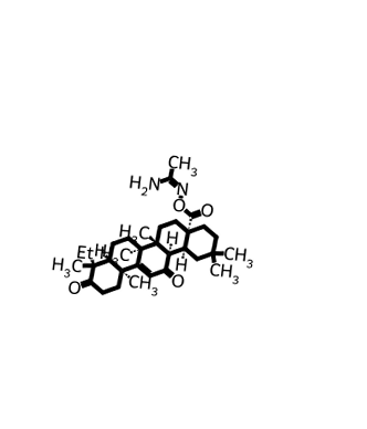 CC[C@]1(C)C(=O)CC[C@]2(C)C3=CC(=O)[C@@H]4[C@@H]5CC(C)(C)CC[C@]5(C(=O)O/N=C(/C)N)CC[C@@]4(C)[C@]3(C)CC[C@@H]12